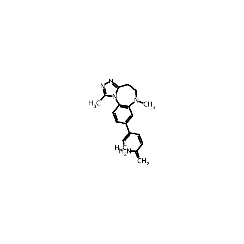 C=C(N)/C=C\C(=C/C)c1ccc2c(c1)N(C)CCc1nnc(C)n1-2